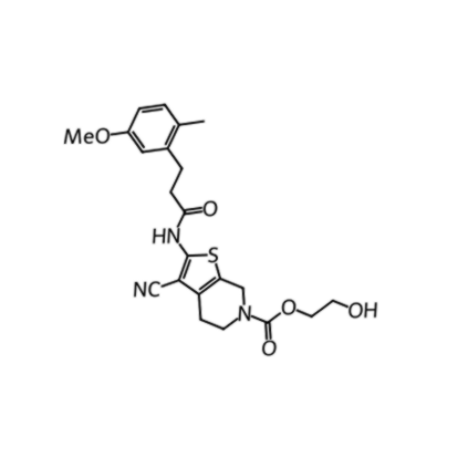 COc1ccc(C)c(CCC(=O)Nc2sc3c(c2C#N)CCN(C(=O)OCCO)C3)c1